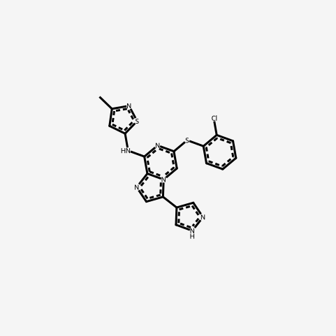 Cc1cc(Nc2nc(Sc3ccccc3Cl)cn3c(-c4cn[nH]c4)cnc23)sn1